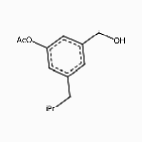 CC(=O)Oc1cc([CH]O)cc(CC(C)C)c1